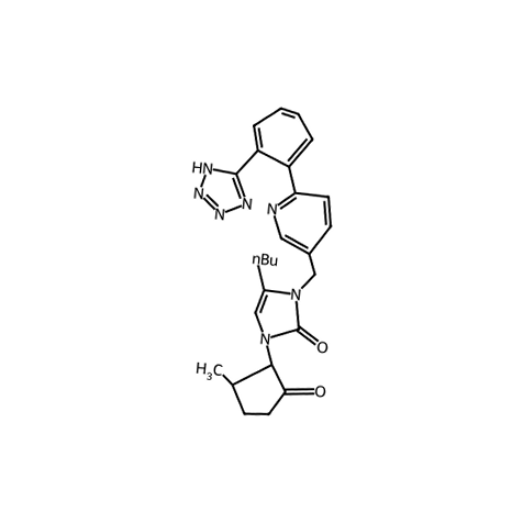 CCCCc1cn(C2C(=O)CCC2C)c(=O)n1Cc1ccc(-c2ccccc2-c2nnn[nH]2)nc1